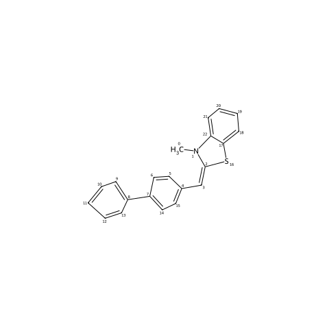 CN1C(=Cc2ccc(-c3ccccc3)cc2)Sc2ccccc21